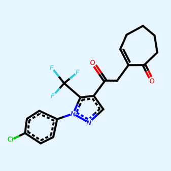 O=C1CCCCC=C1CC(=O)c1cnn(-c2ccc(Cl)cc2)c1C(F)(F)F